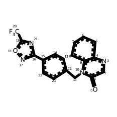 O=c1cnc2ccccc2n1Cc1ccc(-c2noc(C(F)(F)F)n2)cc1